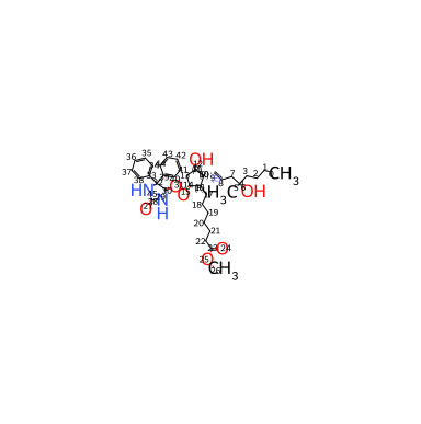 CCCCC(C)(O)C/C=C/[C@H]1[C@H](O)CC(=O)[C@@H]1CCCCCCC(=O)OC.O=C1NC(=O)C(c2ccccc2)(c2ccccc2)N1